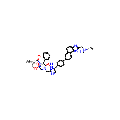 CCCN(C)Cc1nc2ccc3cc(-c4ccc(-c5cnc(CN(CC6(C)OCCO6)C(=O)[C@H](NC(=O)OC)c6ccccc6)[nH]5)cc4)ccc3c2[nH]1